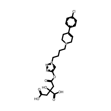 O=C(O)CC(O)(CC(=O)Oc1cn(CCCCN2CC=C(c3ccc(Cl)cc3)CC2)nn1)C(=O)O